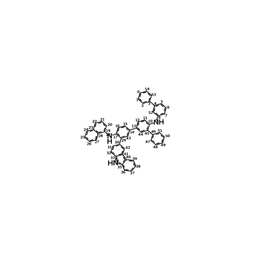 c1ccc(-c2cccc(Nc3ccc(-c4ccc(Nc5cccc6ccccc56)c(-c5ccc6[nH]c7ccccc7c6c5)c4)cc3-c3ccccc3)c2)cc1